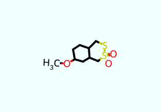 COC1CCC2CSS(=O)(=O)CC2C1